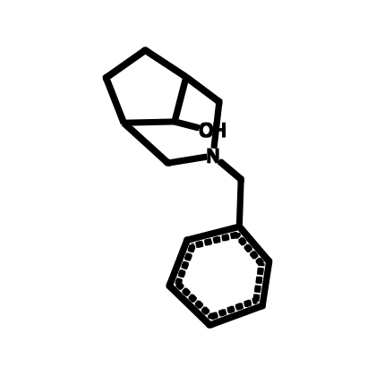 OC1C2CCC1CN(Cc1ccccc1)C2